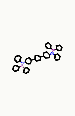 C1=CC(=[N+](c2ccccc2)P(c2ccccc2)c2ccccc2)CC=C1c1ccc(C2=CCC(=[N+](c3ccccc3)P(c3ccccc3)c3ccccc3)C=C2)cc1